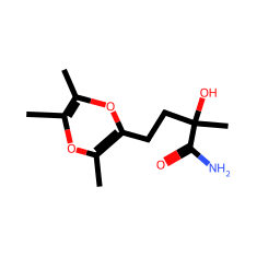 CC1=C(C)OC(CCC(C)(O)C(N)=O)=C(C)O1